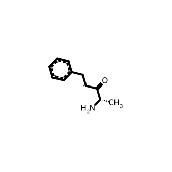 C[C@H](N)C(=O)[CH]Cc1ccccc1